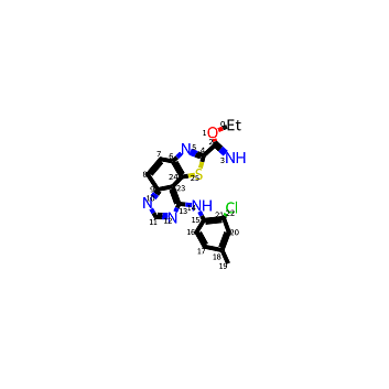 CCOC(=N)c1nc2ccc3ncnc(Nc4ccc(C)cc4Cl)c3c2s1